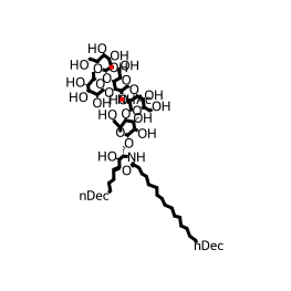 CCCCCCCCCCCCC/C=C/[C@@H](O)[C@H](CO[C@@H]1OC(CO)[C@@H](O[C@@H]2OC(CO)[C@H](O)[C@H](O[C@@H]3OC(CO)[C@@H](O[C@@H]4OC(CO)[C@H](O)[C@H](O)C4O)[C@H](O[C@H]4OC(C)[C@@H](O)C(O)[C@@H]4O)C3NC(C)=O)C2O)[C@H](O)C1O)NC(=O)CCCCCCCCCCCCCCCCCCCCCCCCC